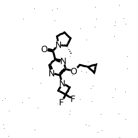 C[C@H]1CCCN1C(=O)c1cnc(N2CC(F)(F)C2)c(OCC2CC2)n1